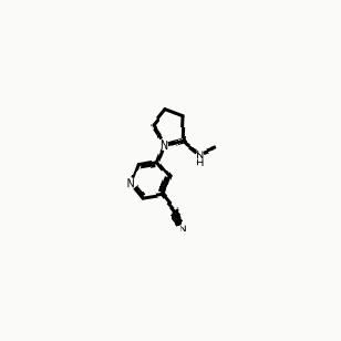 CNC1CCCN1c1cncc(C#N)c1